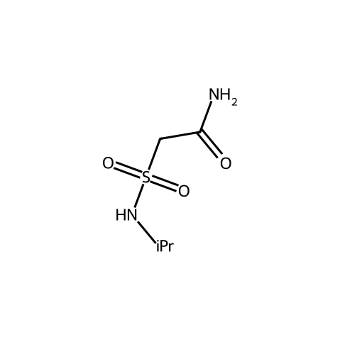 CC(C)NS(=O)(=O)CC(N)=O